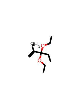 C=C([SiH3])C(CC)(OCC)OCC